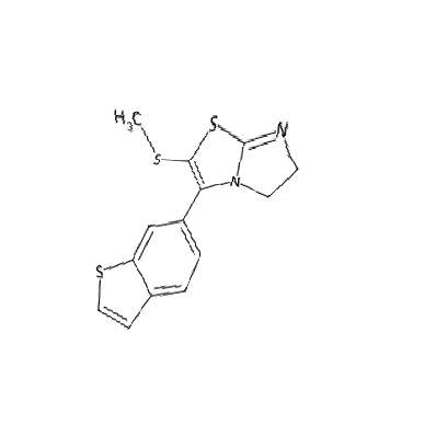 CSC1=C(c2ccc3ccsc3c2)N2CCN=C2S1